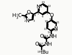 Cc1ncc(-c2cc(Oc3ccc(NC(=O)NC(=O)C(C)(C)C)nc3)ccn2)o1